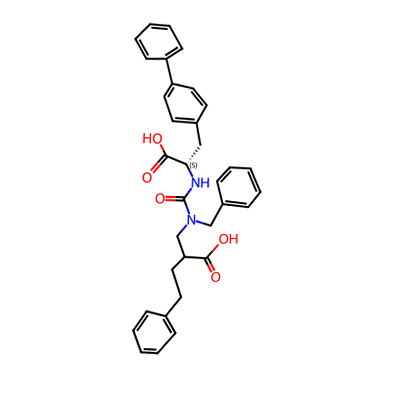 O=C(O)C(CCc1ccccc1)CN(Cc1ccccc1)C(=O)N[C@@H](Cc1ccc(-c2ccccc2)cc1)C(=O)O